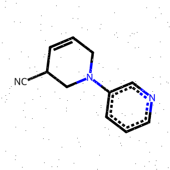 N#CC1C=CCN(c2cccnc2)C1